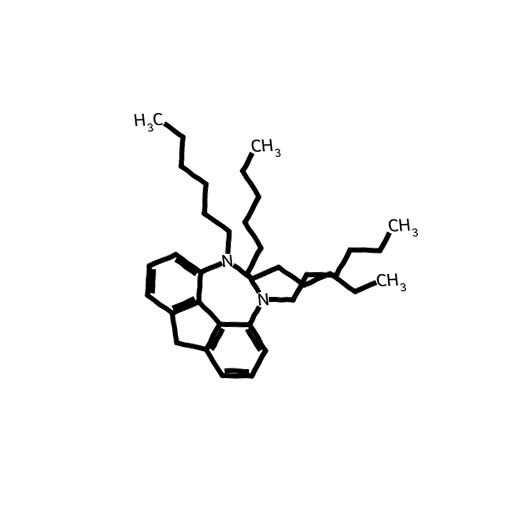 CCCCCCN(CCCCCC)c1cccc2c1-c1c(cccc1N(CCCCCC)CCCCCC)C2